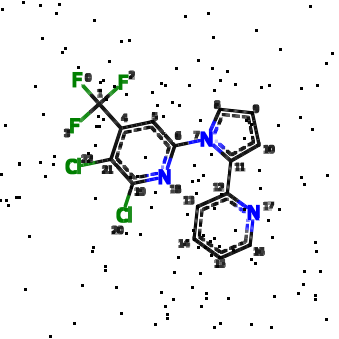 FC(F)(F)c1cc(-n2cccc2-c2ccccn2)nc(Cl)c1Cl